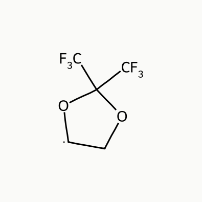 FC(F)(F)C1(C(F)(F)F)O[CH]CO1